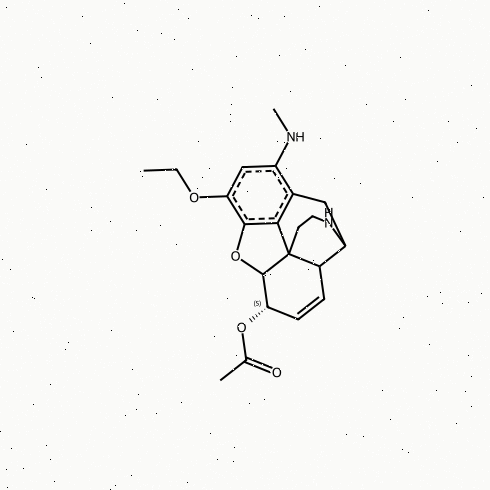 CCOc1cc(NC)c2c3c1OC1[C@@H](OC(C)=O)C=CC4C(C2)NCCC341